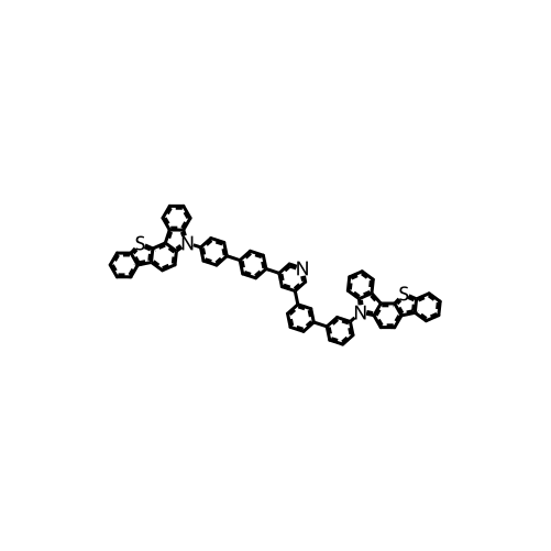 c1cc(-c2cncc(-c3ccc(-c4ccc(-n5c6ccccc6c6c7sc8ccccc8c7ccc65)cc4)cc3)c2)cc(-c2cccc(-n3c4ccccc4c4c5sc6ccccc6c5ccc43)c2)c1